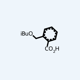 CC(C)COCc1ccccc1C(=O)O